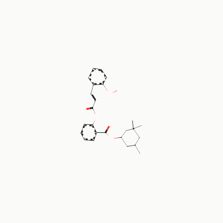 COc1ccccc1/C=C/C(=O)Oc1ccccc1C(=O)OC1CC(C)CC(C)(C)C1